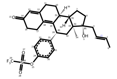 C/C=C/C[C@]1(O)CC[C@H]2[C@@H]3CCC4=CC(=O)CCC4=C3[C@@H](c3ccc(OS(=O)(=O)C(F)(F)F)cc3)C[C@@]21C